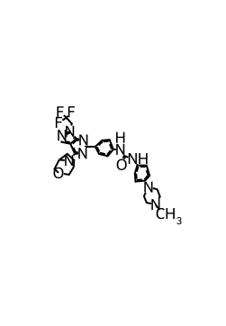 CN1CCN(c2ccc(NC(=O)Nc3ccc(-c4nc(N5C6CCC5COC6)c5cnn(CC(F)(F)F)c5n4)cc3)cc2)CC1